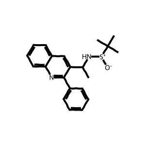 CC(N[S+]([O-])C(C)(C)C)c1cc2ccccc2nc1-c1ccccc1